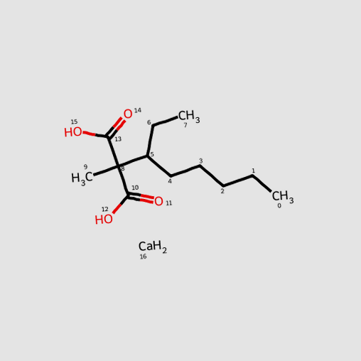 CCCCCC(CC)C(C)(C(=O)O)C(=O)O.[CaH2]